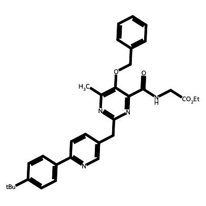 CCOC(=O)CNC(=O)c1nc(Cc2ccc(-c3ccc(C(C)(C)C)cc3)nc2)nc(C)c1OCc1ccccc1